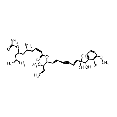 C=C[C@@H](C)[C@H](/C=C/C#C/C=C/C(C)(C)[C@@H](O)c1cccc(OC)c1Br)OC(=O)/C=C\C[C@H](N)C[C@@H](CC(C)C)OC(N)=O